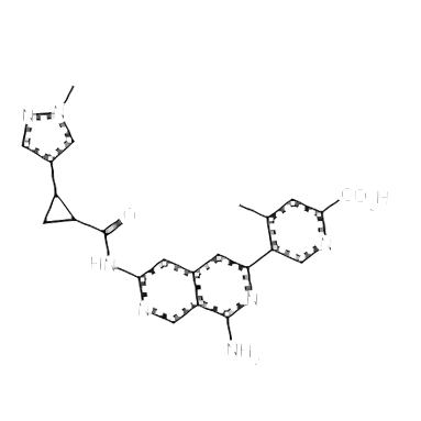 Cc1cc(C(=O)O)ncc1-c1cc2cc(NC(=O)C3CC3c3cnn(C)c3)ncc2c(N)n1